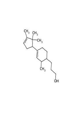 CC1=CCC(C2=CC(C)C(CCCO)CC2)C1(C)C